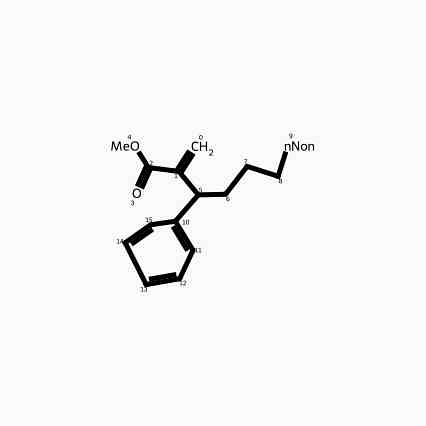 C=C(C(=O)OC)C(CCCCCCCCCCCC)c1ccccc1